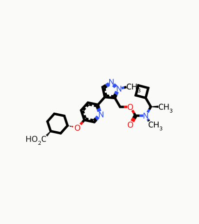 C[C@H](C1CCC1)N(C)C(=O)OCc1c(-c2ccc(O[C@H]3CCC[C@H](C(=O)O)C3)cn2)cnn1C